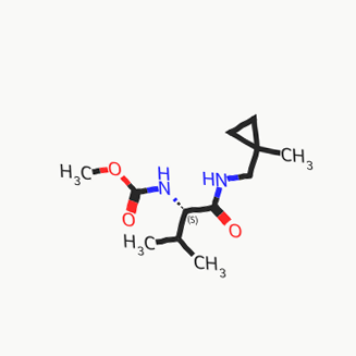 COC(=O)N[C@H](C(=O)NCC1(C)CC1)C(C)C